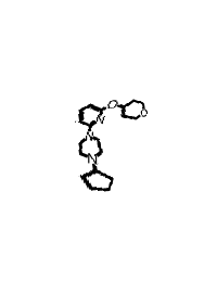 [c]1ccc(OC2CCOCC2)nc1N1CCN(C2CCCC2)CC1